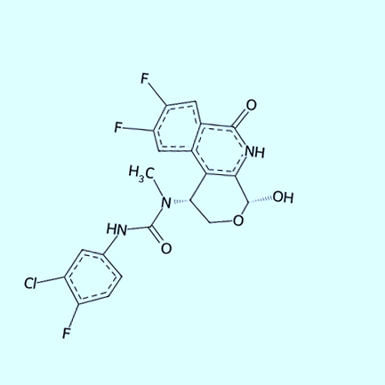 CN(C(=O)Nc1ccc(F)c(Cl)c1)[C@H]1CO[C@@H](O)c2[nH]c(=O)c3cc(F)c(F)cc3c21